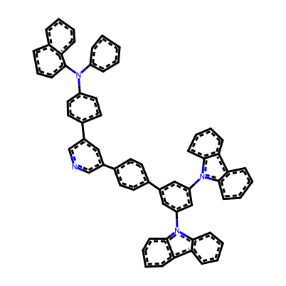 c1ccc(N(c2ccc(-c3cncc(-c4ccc(-c5cc(-n6c7ccccc7c7ccccc76)cc(-n6c7ccccc7c7ccccc76)c5)cc4)c3)cc2)c2cccc3ccccc23)cc1